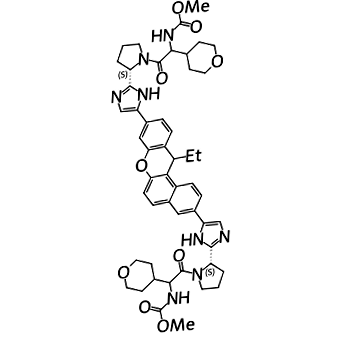 CCC1c2ccc(-c3cnc([C@@H]4CCCN4C(=O)C(NC(=O)OC)C4CCOCC4)[nH]3)cc2Oc2ccc3cc(-c4cnc([C@@H]5CCCN5C(=O)C(NC(=O)OC)C5CCOCC5)[nH]4)ccc3c21